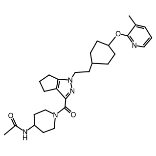 CC(=O)NC1CCN(C(=O)c2nn(CCC3CCC(Oc4ncccc4C)CC3)c3c2CCC3)CC1